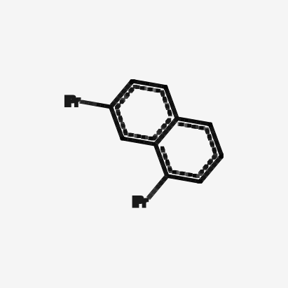 CC(C)c1ccc2cccc(C(C)C)c2c1